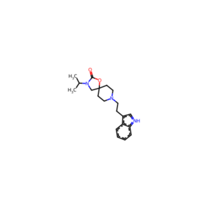 CC(C)N1CC2(CCN(CCc3c[nH]c4ccccc34)CC2)OC1=O